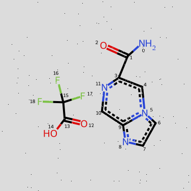 NC(=O)c1cn2ccnc2cn1.O=C(O)C(F)(F)F